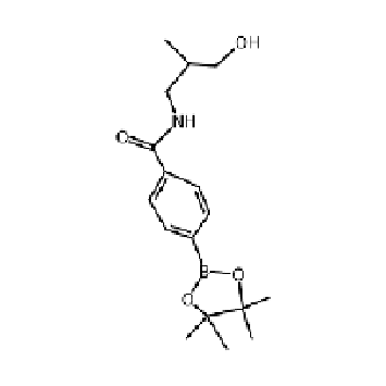 CC(CO)CNC(=O)c1ccc(B2OC(C)(C)C(C)(C)O2)cc1